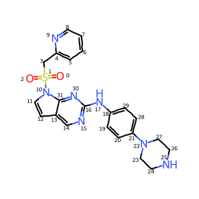 O=S(=O)(Cc1ccccn1)n1ccc2cnc(Nc3ccc(N4CCNCC4)cc3)nc21